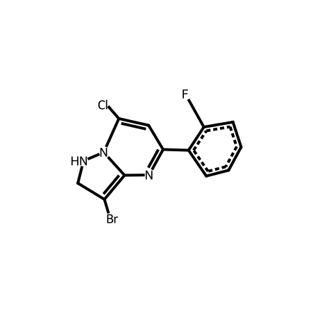 Fc1ccccc1C1=NC2=C(Br)CNN2C(Cl)=C1